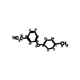 CC1CCC(Oc2cccc(C(=O)O)c2)CC1